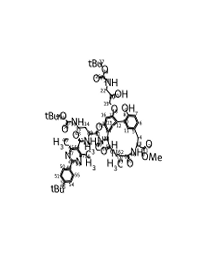 COC(=O)[C@@H]1Cc2ccc(O)c(c2)-c2cc(ccc2OC[C@H](O)CNC(=O)OC(C)(C)C)[C@H](N(C)C(=O)[C@H](CCNC(=O)OC(C)(C)C)NC(=O)c2c(C)nc(-c3ccc(C(C)(C)C)cc3)nc2C)C(=O)N[C@@H](C)C(=O)N1